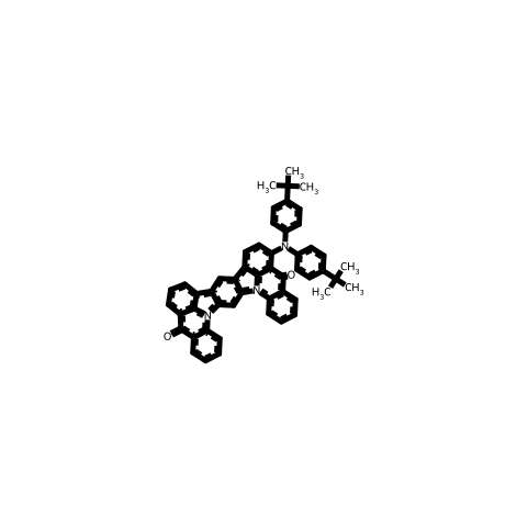 CC(C)(C)c1ccc(N(c2ccc(C(C)(C)C)cc2)c2ccc3c4cc5c6cccc7c(=O)c8ccccc8n(c5cc4n4c5ccccc5c(=O)c2c34)c76)cc1